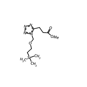 COC(=O)CCc1nnnn1COCC[Si](C)(C)C